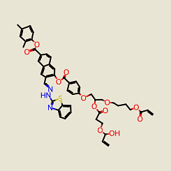 C=CC(=O)OCCCCOCC(COc1ccc(C(=O)Oc2cc3ccc(C(=O)Oc4ccc(C)cc4C)cc3cc2/C=N/Nc2nc3ccccc3s2)cc1)OC(=O)CCOC(O)C=C